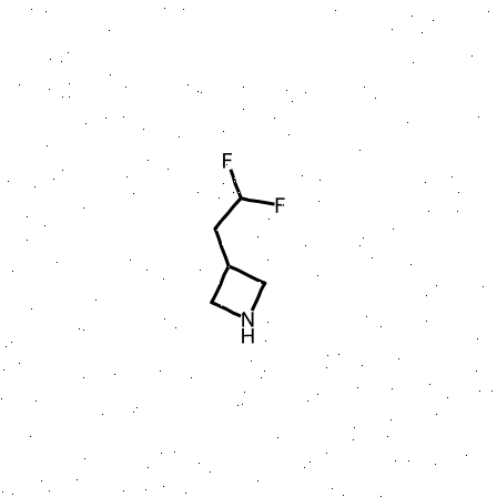 FC(F)CC1CNC1